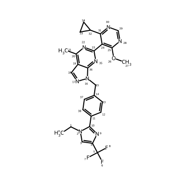 CCn1cc(C(F)(F)F)nc1-c1ccc(Cn2ncc3c(C)nc(-c4c(OC)ncnc4C4CC4)nc32)cc1